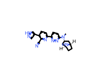 CN(c1ccc(-c2ccc(-c3cn[nH]c3)c(C#N)n2)nn1)[C@@H]1C[C@H]2CC[C@@H](C1)N2